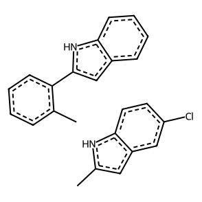 Cc1cc2cc(Cl)ccc2[nH]1.Cc1ccccc1-c1cc2ccccc2[nH]1